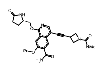 CNC(=O)N1CC(C#Cc2cnc(OC[C@@H]3CCC(=O)N3)c3cc(OC(C)C)c(C(N)=O)cc23)C1